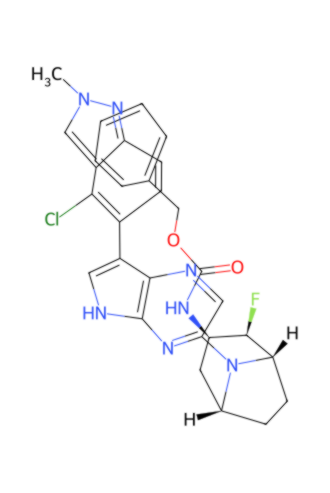 Cn1cc2c(Cl)c(-c3c[nH]c4nc(N5[C@@H]6CC[C@H]5[C@H](F)[C@H](NC(=O)OCc5ccccc5)C6)cnc34)ccc2n1